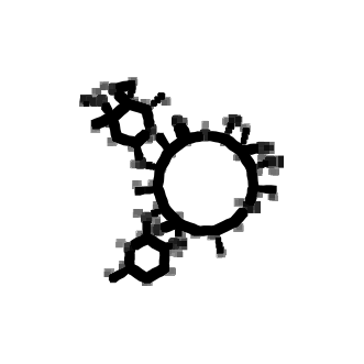 CC[C@H]1OC(=O)[C@H](C)[C@@H](O[C@H]2C[C@@](C)(OC)[C@]3(CO3)[C@H](C)O2)[C@H](C)[C@@H](O[C@@H]2O[C@H](C)CC[C@H]2O)[C@](C)(O)C[C@@H](C)CN[C@H](C)[C@@H](O)[C@]1(C)O